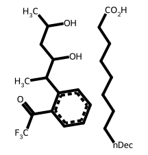 CC(O)CC(O)C(C)c1ccccc1C(=O)C(F)(F)F.CCCCCCCCCCCCCCCCCC(=O)O